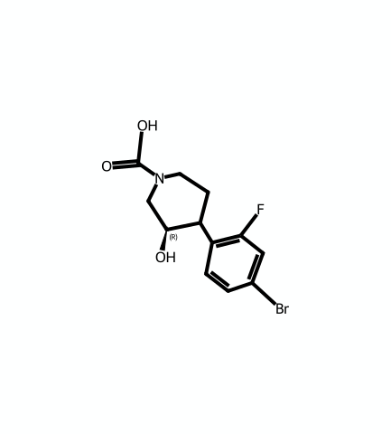 O=C(O)N1CCC(c2ccc(Br)cc2F)[C@@H](O)C1